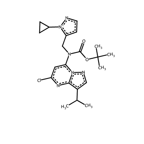 CC(C)c1cnn2c(N(Cc3ccnn3C3CC3)C(=O)OC(C)(C)C)cc(Cl)nc12